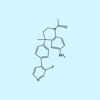 CC(=O)N1CCC(C)(c2ccc(-c3ccncc3F)cc2)c2cc(N)ccc21